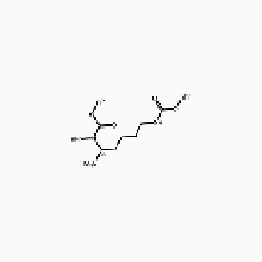 CCCOC(=O)NCCCC[C@@H](C(=O)O)N(CCC)C(=O)OCCC